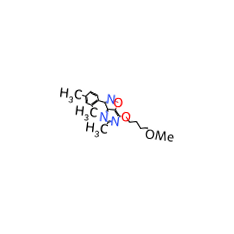 COCCCCOc1nc(C)nc2c(-c3ccc(C)cc3C)noc12